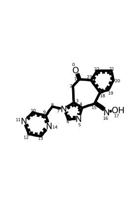 O=C1Cc2c(ncn2Cc2cnccn2)/C(=N/O)c2ccccc21